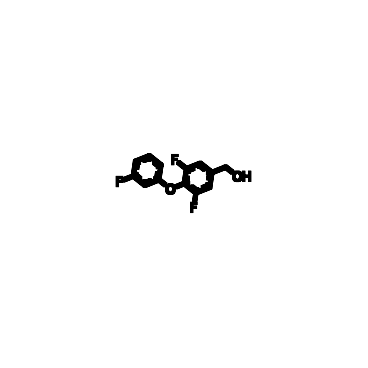 OCc1cc(F)c(Oc2cccc(F)c2)c(F)c1